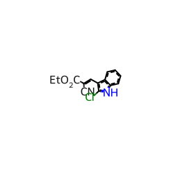 CCOC(=O)C(C#N)=Cc1c(Cl)[nH]c2ccccc12